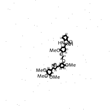 COc1cc(C2NC(=O)c3ccccc3N2)ccc1OCCOc1cc(C2CC(c3cc(OC)c(OC)c(OC)c3)=NO2)ccc1OC